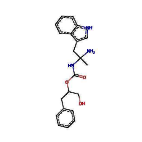 CC(N)(Cc1c[nH]c2ccccc12)NC(=O)OC(CO)Cc1ccccc1